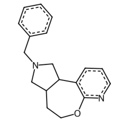 c1ccc(CN2CC3CCOc4ncccc4C3C2)cc1